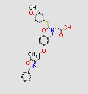 COc1ccc(SC(=O)N(CC(=O)O)Cc2cccc(OCCc3nc(-c4ccccc4)oc3C)c2)cc1